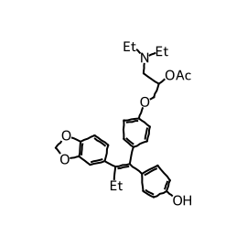 CC/C(=C(\c1ccc(O)cc1)c1ccc(OCC(CN(CC)CC)OC(C)=O)cc1)c1ccc2c(c1)OCO2